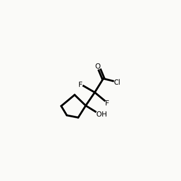 O=C(Cl)C(F)(F)C1(O)CCCC1